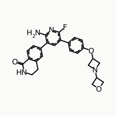 Nc1nc(F)c(-c2ccc(OC3CN(C4COC4)C3)cc2)cc1-c1ccc2c(c1)CCNC2=O